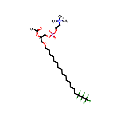 CC(=O)O[C@H](COCCCCCCCCCCCCCCCC(F)(F)C(F)(F)C(F)(F)F)COP(=O)([O-])OCC[N+](C)(C)C